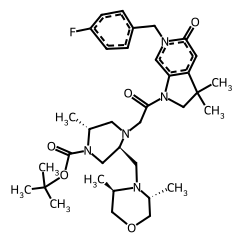 C[C@@H]1CN(CC(=O)N2CC(C)(C)c3cc(=O)n(Cc4ccc(F)cc4)cc32)[C@@H](CN2[C@H](C)COC[C@H]2C)CN1C(=O)OC(C)(C)C